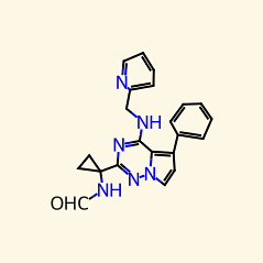 O=CNC1(c2nc(NCc3ccccn3)c3c(-c4ccccc4)ccn3n2)CC1